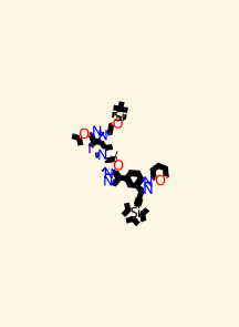 CC(C)Oc1nn(CCO[Si](C)(C)C(C)(C)C)c(C(C)N(C)C[C@H](C)Oc2c(-c3ccc4c(c3)c(C#C[Si](C(C)C)(C(C)C)C(C)C)nn4C3CCCCO3)cnn2C)c1I